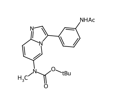 CC(=O)Nc1cccc(-c2cnc3ccc(N(C)C(=O)OC(C)(C)C)cn23)c1